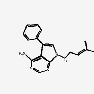 CC(C)=CCPn1cc(-c2ccccc2)c2c(N)ncnc21